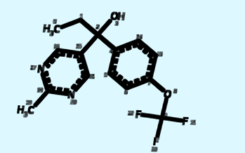 CCC(O)(c1ccc(OC(F)(F)F)cc1)c1cnc(C)nc1